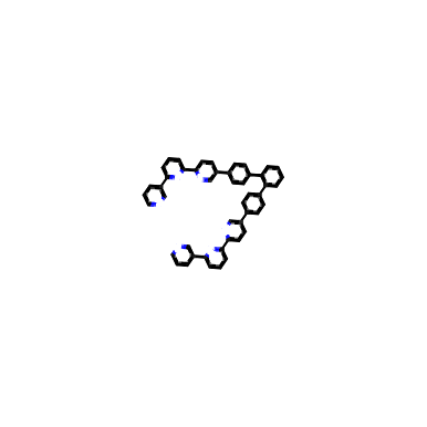 c1cncc(-c2cccc(-c3ccc(-c4ccc(-c5ccccc5-c5ccc(-c6ccc(-c7cccc(-c8cccnc8)n7)nc6)cc5)cc4)cn3)n2)c1